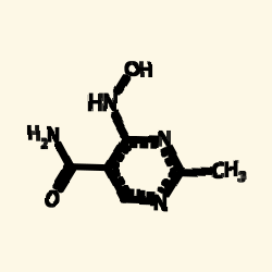 Cc1ncc(C(N)=O)c(NO)n1